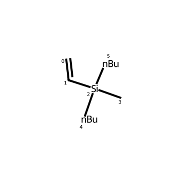 C=C[Si](C)(CCCC)CCCC